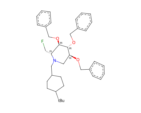 CC(C)(C)C1CCC(CN2C[C@H](OCc3ccccc3)[C@@H](OCc3ccccc3)[C@H](OCc3ccccc3)[C@H]2CF)CC1